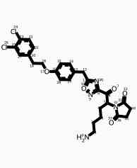 NCCCCC(C(=O)c1noc(Cc2ccc(OCCc3ccc(Cl)c(Cl)c3)cc2)n1)N1C(=O)CCC1=O